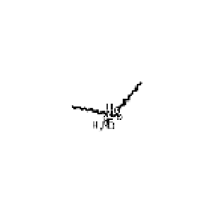 CCCCCCCCCCCCOC(=O)[C@H](CCC(N)=O)NC(=O)CCCCCCCCCCC